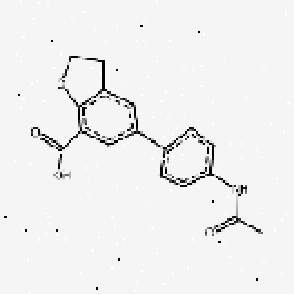 CC(=O)Nc1ccc(-c2cc3c(c(C(=O)O)c2)OCC3)cc1